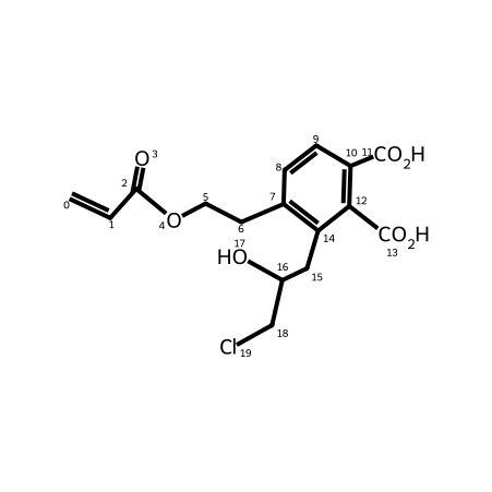 C=CC(=O)OCCc1ccc(C(=O)O)c(C(=O)O)c1CC(O)CCl